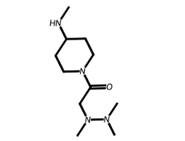 CNC1CCN(C(=O)CN(C)N(C)C)CC1